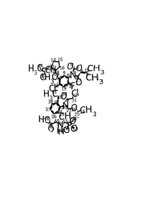 CC(C)=C1OC(=O)N(c2cc(OC3CCCC3)c(Cl)cc2F)C1=O.CCOCN(C(=O)CCl)c1c(C)cccc1CC.C[S+](C)C.O=C(O)CNCP(=O)([O-])O